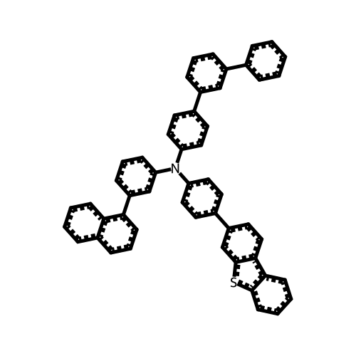 c1ccc(-c2cccc(-c3ccc(N(c4ccc(-c5ccc6c(c5)sc5ccccc56)cc4)c4cccc(-c5cccc6ccccc56)c4)cc3)c2)cc1